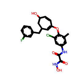 Cc1cc(NC(=O)C(=O)NO)cc(Cl)c1OC1=CC(Cc2cccc(F)c2)CC(O)C=C1